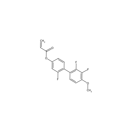 C=CC(=O)Oc1ccc(-c2ccc(OC)c(F)c2F)c(F)c1